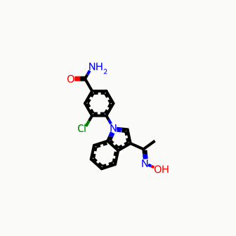 CC(=NO)c1cn(-c2ccc(C(N)=O)cc2Cl)c2ccccc12